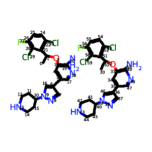 CC(Oc1cc(-c2cnn(C3CCNCC3)c2)cnc1N)c1c(Cl)ccc(F)c1Cl.CC(Oc1cc(-c2cnn(C3CCNCC3)c2)cnc1N)c1c(Cl)ccc(F)c1Cl